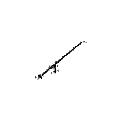 COCCOCCOCCOCCOCCOCCOCCOCCOCCOCCOCCOCCOCCC(=O)NCCCC[C@H](NC(=O)CNC(=O)CNC(=O)CN)C(=O)N[C@@H](CS)C(=O)NCCOCCOCCOCCOCCC(=O)N[C@@H](CS)C(N)=O